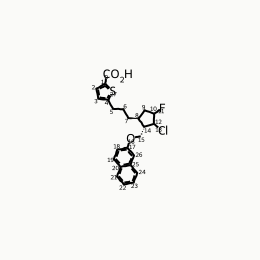 O=C(O)c1ccc(CCC[C@H]2CC(F)C(Cl)[C@@H]2COc2ccc3ccccc3c2)s1